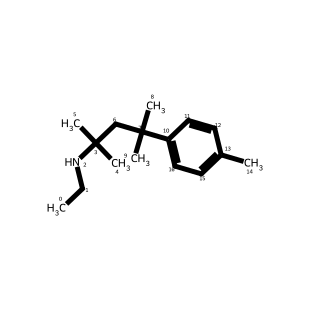 CCNC(C)(C)CC(C)(C)c1ccc(C)cc1